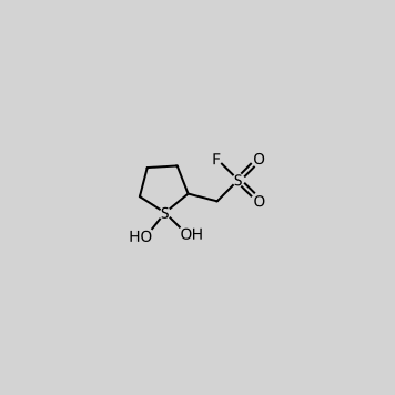 O=S(=O)(F)CC1CCCS1(O)O